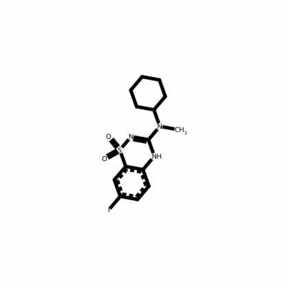 CN(C1=NS(=O)(=O)c2cc(I)ccc2N1)C1CCCCC1